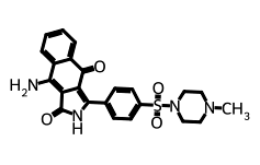 CN1CCN(S(=O)(=O)c2ccc(C3=C4C(=O)c5ccccc5C(N)=C4C(=O)N3)cc2)CC1